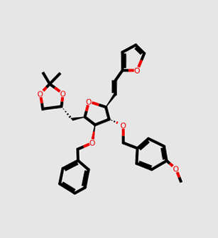 COc1ccc(CO[C@@H]2[C@@H](OCc3ccccc3)[C@@H](C[C@@H]3COC(C)(C)O3)O[C@H]2/C=C/c2ccco2)cc1